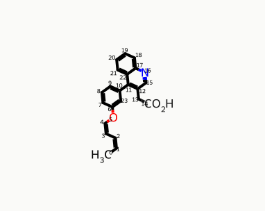 C/C=C\C=C/Oc1cccc(-c2c(CC(=O)O)cnc3ccccc23)c1